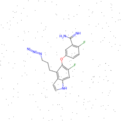 [N-]=[N+]=NCCCc1c(Oc2ccc(F)c(C(=N)N)c2)c(F)cc2[nH]ccc12